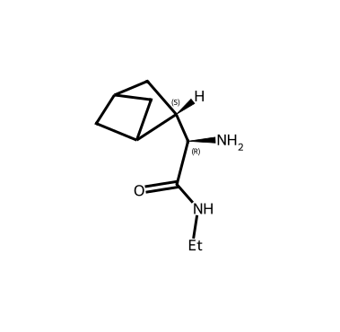 CCNC(=O)[C@H](N)[C@H]1CC2CC1C2